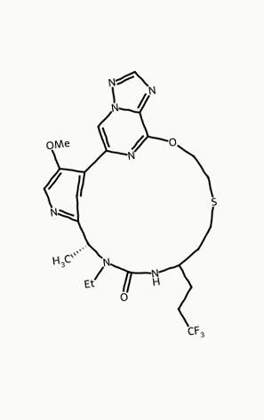 CCN1C(=O)NC(CCC(F)(F)F)CCSCCOc2nc(cn3ncnc23)-c2cc(ncc2OC)[C@H]1C